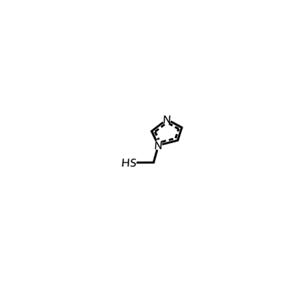 SCn1ccnc1